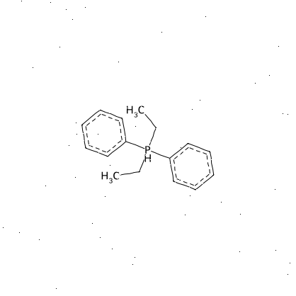 CC[PH](CC)(c1ccccc1)c1ccccc1